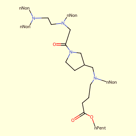 CCCCCCCCCN(CCCCCCCCC)CCN(CCCCCCCCC)CC(=O)N1CCC(CN(CCCCCCCCC)CCCC(=O)OCCCCC)C1